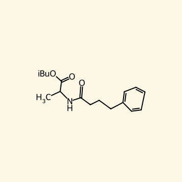 CC(C)COC(=O)C(C)NC(=O)CCCc1ccccc1